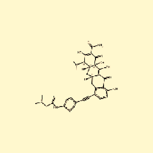 CN(C)CC(=O)Nc1ccc(C#Cc2ccc(O)c3c2C[C@@H]2C[C@@H]4[C@@H](N(C)C)C(O)=C(C(N)=O)C(=O)[C@]4(O)C(O)=C2C3=O)cc1